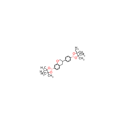 CC1(C)OB(c2ccc(C3COc4cc(B5OC(C)(C)C(C)(C)O5)ccc4C3)cc2)OC1(C)C